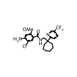 COc1cc(N)c(Cl)cc1C(=O)NCC1(c2ccc(C(F)(F)F)cn2)CCCCCC1